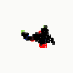 C=Nc1cc(O)ccc1C1=C(C)c2ccc(F)cc2O[C@@H]1c1ccc(OCCN2CC(CF)C2)cc1